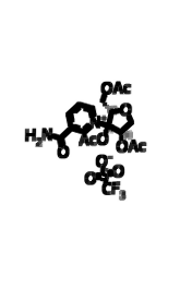 CC(=O)OC[C@@H]1OC[C@@H](OC(C)=O)[C@]1(OC(C)=O)[n+]1cccc(C(N)=O)c1.O=S(=O)([O-])C(F)(F)F